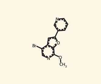 COc1ncc(Br)c2cc(-c3cccnc3)oc12